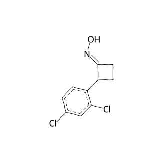 ON=C1CCC1c1ccc(Cl)cc1Cl